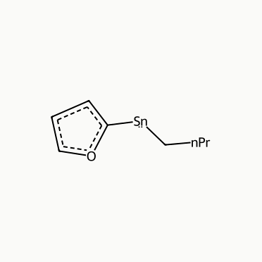 CCC[CH2][Sn][c]1ccco1